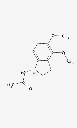 COc1ccc2c(c1OC)CC[C@@H]2NC(C)=O